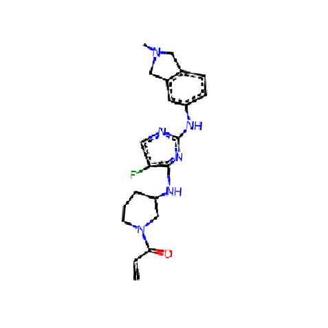 C=CC(=O)N1CCCC(Nc2nc(Nc3ccc4c(c3)CN(C)C4)ncc2F)C1